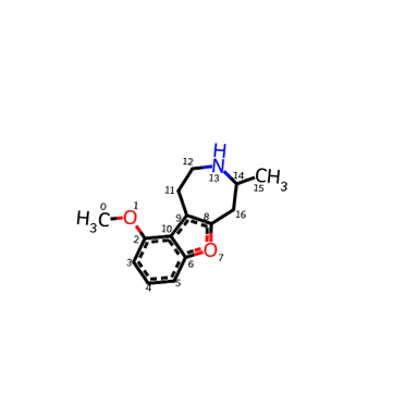 COc1cccc2oc3c(c12)CCNC(C)C3